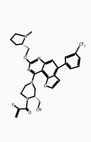 C=C(F)C(=O)N1CCN(c2nc(OC[C@@H]3CCCN3C)nc3cc(-c4cccc(C(F)(F)F)c4)c4ccoc4c23)C[C@@H]1CC#N